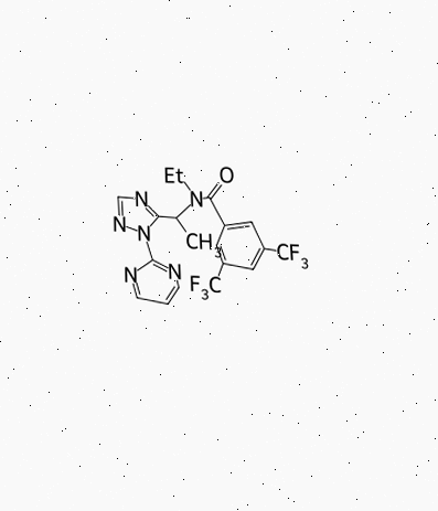 CCN(C(=O)c1cc(C(F)(F)F)cc(C(F)(F)F)c1)C(C)c1ncnn1-c1ncccn1